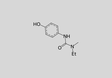 CCN(C)C(=O)Nc1ccc(O)cc1